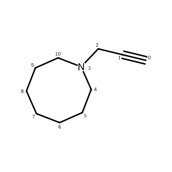 C#CCN1CCCCCCC1